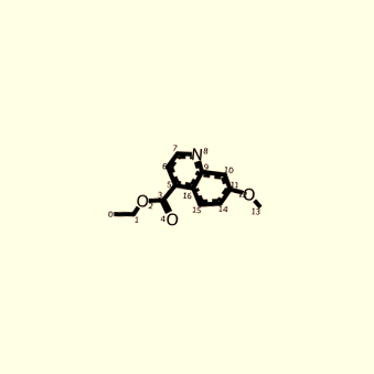 CCOC(=O)c1ccnc2cc(OC)ccc12